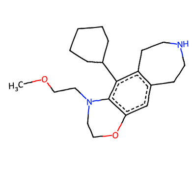 COCCN1CCOc2cc3c(c(C4CCCCC4)c21)CCNCC3